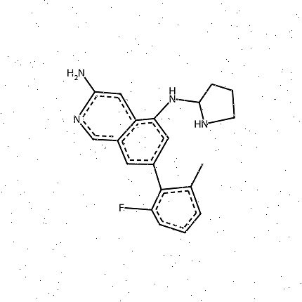 Cc1cccc(F)c1-c1cc(NC2CCCN2)c2cc(N)ncc2c1